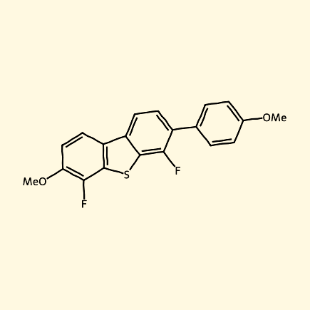 COc1ccc(-c2ccc3c(sc4c(F)c(OC)ccc43)c2F)cc1